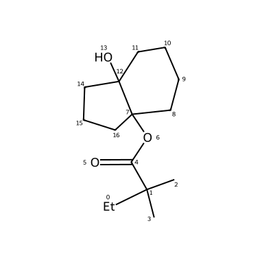 CCC(C)(C)C(=O)OC12CCCCC1(O)CCC2